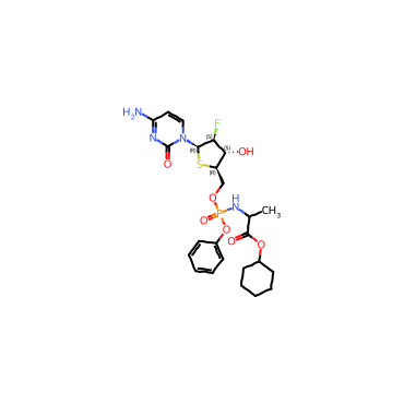 CC(NP(=O)(OC[C@H]1S[C@@H](n2ccc(N)nc2=O)[C@@H](F)[C@@H]1O)Oc1ccccc1)C(=O)OC1CCCCC1